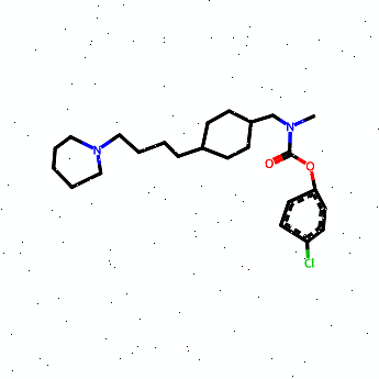 CN(CC1CCC(CCCCN2CCCCC2)CC1)C(=O)Oc1ccc(Cl)cc1